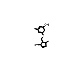 CC1=CC(O)CC(SCC2C(C)C=CC2C(C)C)=C1